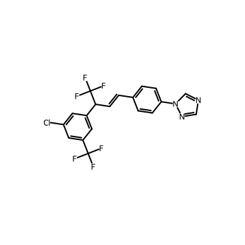 FC(F)(F)c1cc(Cl)cc(C(/C=C/c2ccc(-n3cncn3)cc2)C(F)(F)F)c1